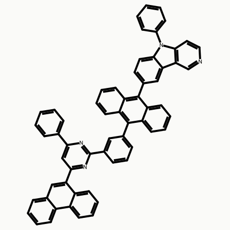 c1ccc(-c2cc(-c3cc4ccccc4c4ccccc34)nc(-c3cccc(-c4c5ccccc5c(-c5ccc6c(c5)c5cnccc5n6-c5ccccc5)c5ccccc45)c3)n2)cc1